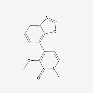 COc1c(-c2cccc3ncoc23)ccn(C)c1=O